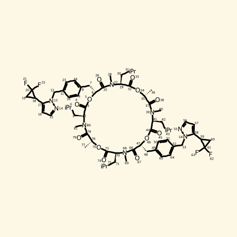 CC(C)C[C@H]1C(=O)O[C@H](Cc2ccc(Cn3nccc3C3CC3(F)F)cc2)C(=O)N(C)[C@@H](CC(C)C)C(=O)O[C@H](C)C(=O)N(C)[C@@H](CC(C)C)C(=O)O[C@H](Cc2ccc(Cn3nccc3C3CC3(F)F)cc2)C(=O)N(C)[C@@H](CC(C)C)C(=O)O[C@H](C)C(=O)N1C